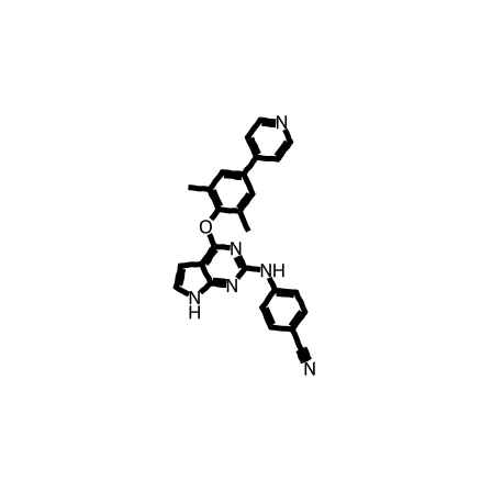 Cc1cc(-c2ccncc2)cc(C)c1Oc1nc(Nc2ccc(C#N)cc2)nc2[nH]ccc12